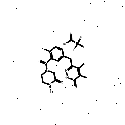 CCN1CCN(C(=O)c2cc(Cc3n[nH]c(=O)c(C)c3C)ccc2F)CC1=O.O=C(O)C(F)(F)F